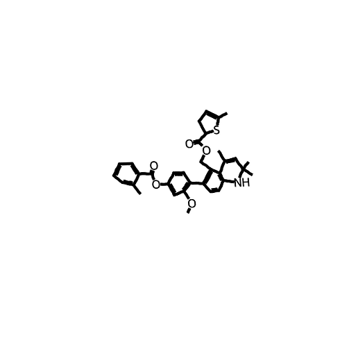 COc1cc(OC(=O)c2ccccc2C)ccc1-c1ccc2c(c1COC(=O)C1CC=C(C)S1)C(C)=CC(C)(C)N2